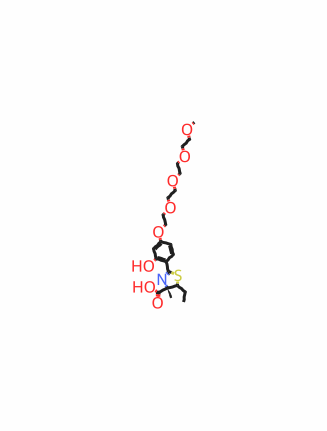 CCC1SC(c2ccc(OCCOCCOCCOCCOC)cc2O)=N[C@@]1(C)C(=O)O